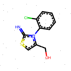 N=c1scc(CO)n1-c1ccccc1Cl